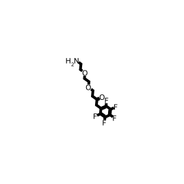 NCCOCCOCCC(=O)Cc1c(F)c(F)c(F)c(F)c1F